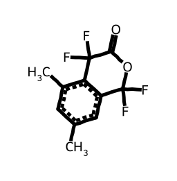 Cc1cc(C)c2c(c1)C(F)(F)OC(=O)C2(F)F